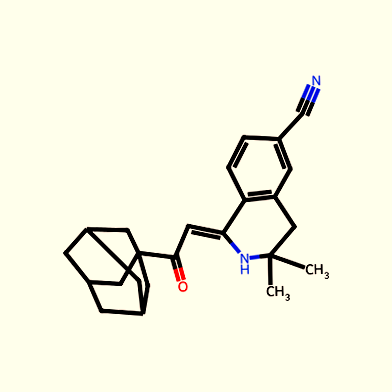 CC1(C)Cc2cc(C#N)ccc2/C(=C/C(=O)C23CC4CC(CC(C4)C2)C3)N1